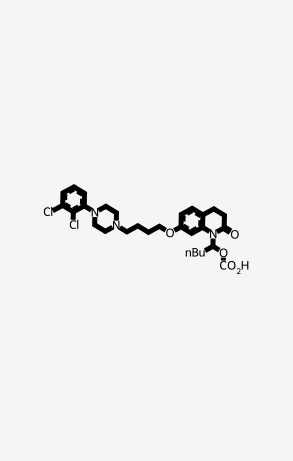 CCCCC(OC(=O)O)N1C(=O)CCc2ccc(OCCCCN3CCN(c4cccc(Cl)c4Cl)CC3)cc21